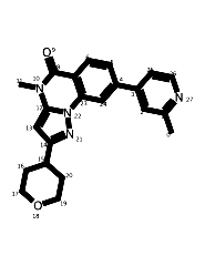 Cc1cc(-c2ccc3c(=O)n(C)c4cc(C5CCOCC5)nn4c3c2)ccn1